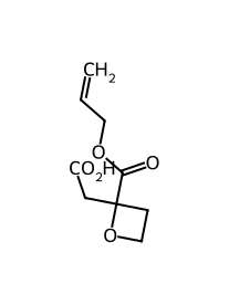 C=CCOC(=O)C1(CC(=O)O)CCO1